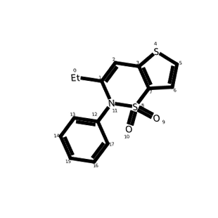 CCC1=Cc2sccc2S(=O)(=O)N1c1ccccc1